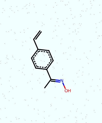 C=Cc1ccc(C(C)=NO)cc1